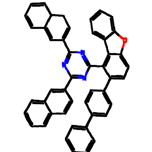 C1=CC2=CC(c3nc(-c4ccc5ccccc5c4)nc(-c4c(-c5ccc(-c6ccccc6)cc5)ccc5oc6ccccc6c45)n3)=CCC2C=C1